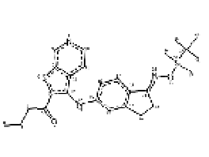 CCCC(=O)c1sc2cnccc2c1Nc1ccc2c(c1)CCC2=NO[Si](C)(C)C(C)(C)C